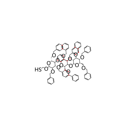 SCO[C@H]1O[C@H](COCc2ccccc2)[C@@H](O[C@@H]2O[C@H](COCc3ccccc3)[C@H](O[C@@H]3O[C@H](COCc4ccccc4)[C@@H](OCc4ccccc4)[C@H](OCc4ccccc4)[C@H]3OCc3ccccc3)[C@H](OCc3ccccc3)[C@H]2OCc2ccccc2)[C@H](OCc2ccccc2)[C@H]1OCc1ccccc1